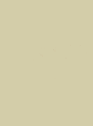 CCOCCn1c(=O)nc(-c2ccccc2)c2cc(Cl)sc21